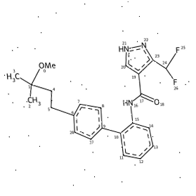 COC(C)(C)CCc1ccc(-c2ccccc2NC(=O)c2c[nH]nc2C(F)F)cc1